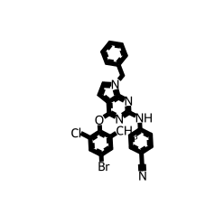 Cc1cc(Br)cc(Cl)c1Oc1nc(Nc2ccc(C#N)cc2)nc2c1ccn2Cc1ccccc1